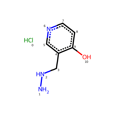 Cl.NNCc1cnccc1O